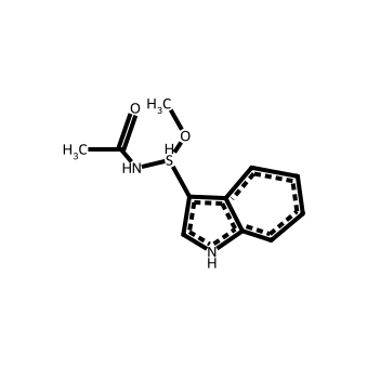 CO[SH](NC(C)=O)c1c[nH]c2ccccc12